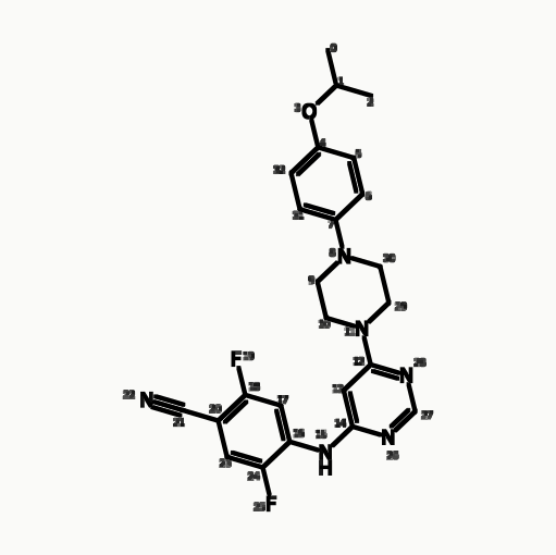 CC(C)Oc1ccc(N2CCN(c3cc(Nc4cc(F)c(C#N)cc4F)ncn3)CC2)cc1